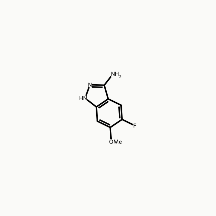 COc1cc2[nH]nc(N)c2cc1F